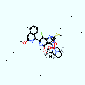 COc1cc2ccccc2c(-c2nc3c4c(nc(SC)nc4c2F)N2C[C@H]4CC[C@@H]([C@H]2[C@H](C)O3)N4C(=O)OC(C)(C)C)n1